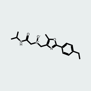 CCc1ccc(-c2nc(C[S+]([O-])CC(=O)NC(C)C)c(C)o2)cc1